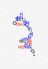 C#Cc1ccc(CNC(=O)[C@@H]2C[C@@H](O)CN2C(=O)[C@@H](NC(=O)N2CCN(CC3CCN(c4cnc(N5CCC6Nc7nnc(-c8ccccc8O)cc7C6[C@H]5C)nc4)CC3)CC2)C(C)(C)C)cc1